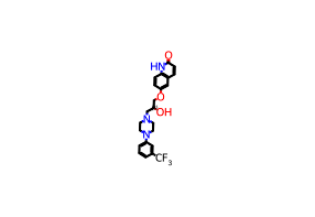 O=c1ccc2cc(OC[C@@H](O)CN3CCN(c4cccc(C(F)(F)F)c4)CC3)ccc2[nH]1